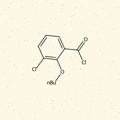 CCCCOc1c(Cl)cccc1C(=O)Cl